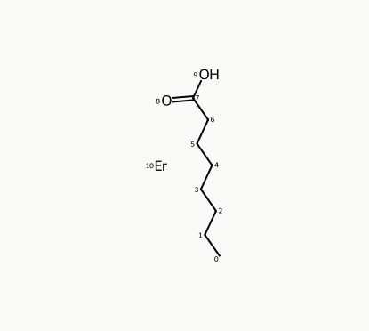 CCCCCCCC(=O)O.[Er]